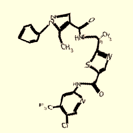 Cc1c(C(=O)N[C@H](C)c2ncc(C(=O)Nc3cc(C(F)(F)F)c(Cl)cn3)s2)cnn1-c1ccccc1